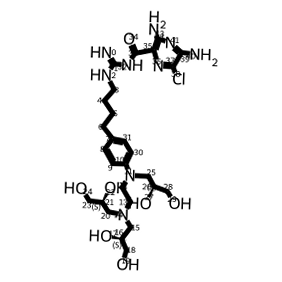 N=C(NCCCCc1ccc(N(CCN(C[C@H](O)CO)C[C@H](O)CO)C[C@H](O)CO)cc1)NC(=O)c1nc(Cl)c(N)nc1N